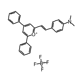 CN(C)c1ccc(C=Cc2cc(-c3ccccc3)cc(-c3ccccc3)[o+]2)cc1.F[B-](F)(F)F